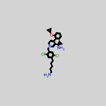 NCCCCCc1cc(Cl)c(CN2C=C(C3(N)CC3)C(c3ccccc3OC3CC3)=CC2)cc1Cl